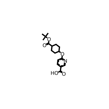 CC(C)(C)OC(=O)C1CCC(Oc2ccc(C(=O)O)cn2)CC1